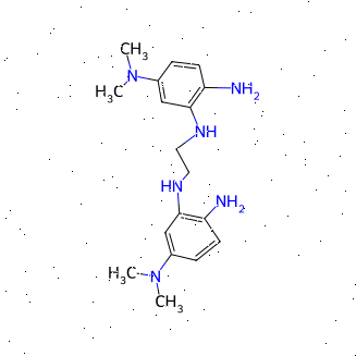 CN(C)c1ccc(N)c(NCCNc2cc(N(C)C)ccc2N)c1